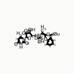 CC(N[P@@](O)(=S)OC[C@H]1O[C@@H](n2ccc(=O)[nH]c2=O)[C@](C)(O)[C@@H]1O)=C(OCC(C)(C)C)Oc1ccccc1